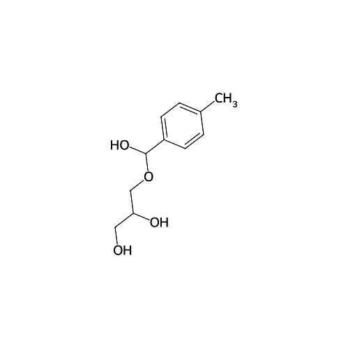 Cc1ccc(C(O)OCC(O)CO)cc1